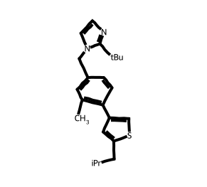 Cc1cc(Cn2ccnc2C(C)(C)C)ccc1-c1csc(CC(C)C)c1